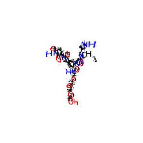 CN(Cc1cn[nH]c1)C(=O)CNc1cc2c(cc1C(=O)NCCOCCOCCOCO)CN(C1CCC(=O)NC1=O)C2=O